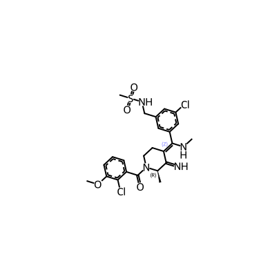 CN/C(=C1/CCN(C(=O)c2cccc(OC)c2Cl)[C@H](C)C1=N)c1cc(Cl)cc(CNS(C)(=O)=O)c1